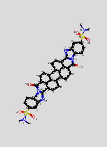 CN(C)S(=O)(=O)c1ccc2c(c1)nc1c3ccc4c5ccc6c(=O)n7c8ccc(S(=O)(=O)N(C)C)cc8nc7c7ccc(c8ccc(c(=O)n21)c3c84)c5c67